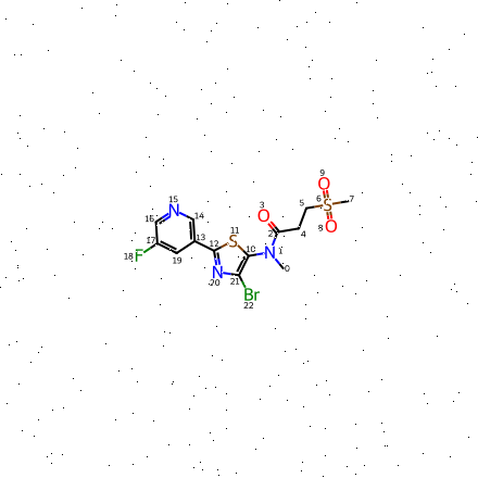 CN(C(=O)CCS(C)(=O)=O)c1sc(-c2cncc(F)c2)nc1Br